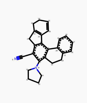 N#Cc1c2c(c3c(c1N1CCCC1)CCc1ccccc1-3)C1=C(CCC=C1)C2